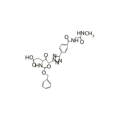 CNC(=O)CNC(=O)c1ccc(-c2nnn(CC(=O)C(CC(=O)O)NC(=O)OCc3ccccc3)n2)cc1